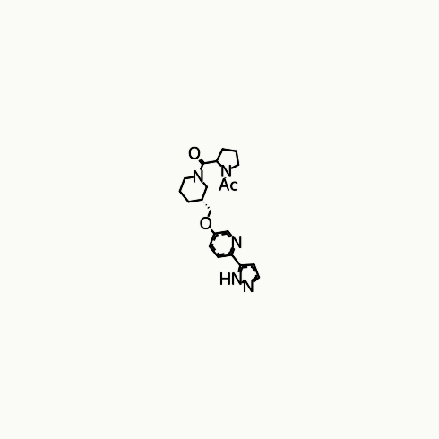 CC(=O)N1CCCC1C(=O)N1CCC[C@@H](COc2ccc(-c3ccn[nH]3)nc2)C1